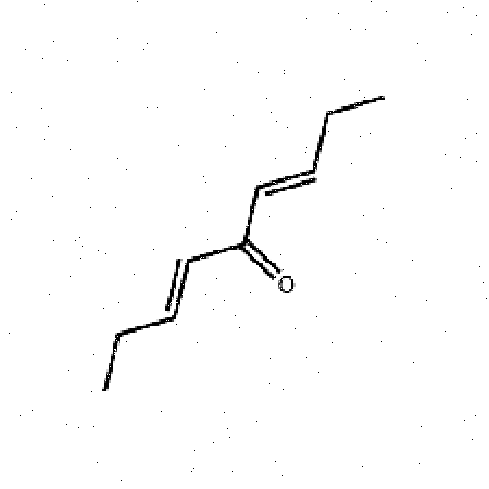 CCC=CC(=O)C=CCC